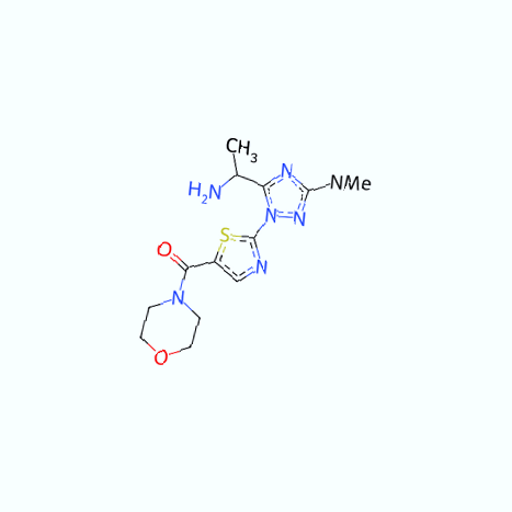 CNc1nc(C(C)N)n(-c2ncc(C(=O)N3CCOCC3)s2)n1